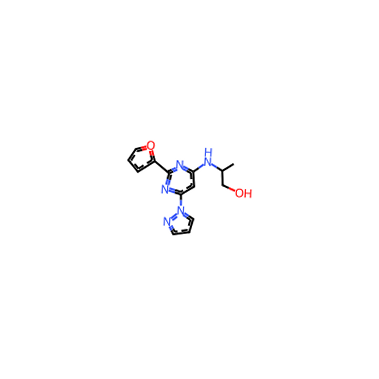 CC(CO)Nc1cc(-n2cccn2)nc(-c2ccco2)n1